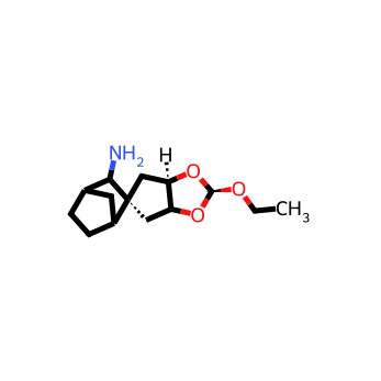 CCO[C@H]1OC2C[C@]3(C[C@H]2O1)C1CCC(C1)C3N